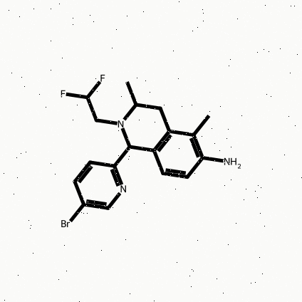 Cc1c(N)ccc2c1CC(C)N(CC(F)F)C2c1ccc(Br)cn1